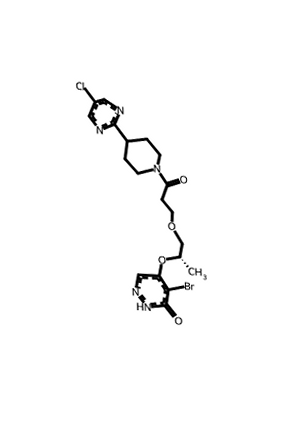 C[C@@H](COCCC(=O)N1CCC(c2ncc(Cl)cn2)CC1)Oc1cn[nH]c(=O)c1Br